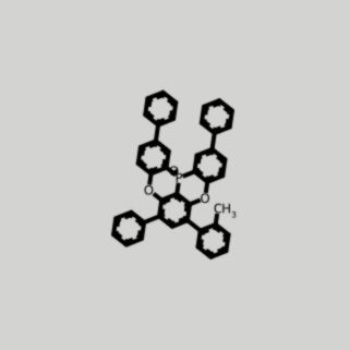 Cc1ccccc1-c1cc(-c2ccccc2)c2c3c1Oc1ccc(-c4ccccc4)cc1P3(=O)c1cc(-c3ccccc3)ccc1O2